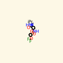 CC(C)Cn1[nH]c(=O)c2cc(NS(=O)(=O)c3cccc(OC(F)F)c3)ccc21